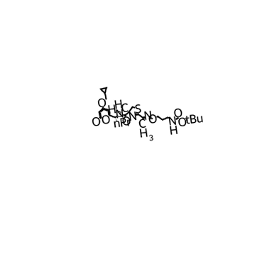 CCC[C@@H](NC(=O)C1(C)CSC(/C(C)=N/OCCCNC(=O)OC(C)(C)C)=N1)c1cc(OCC2CC2)cc(=O)o1